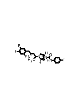 N[C@@H](CC(=O)N1C[C@@H]2C[C@H]1CN2C(=O)Nc1ccc(F)cc1)Cc1cc(F)c(F)cc1F